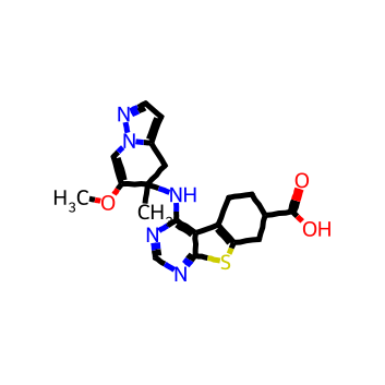 COC1=Cn2nccc2CC1(C)Nc1ncnc2sc3c(c12)CCC(C(=O)O)C3